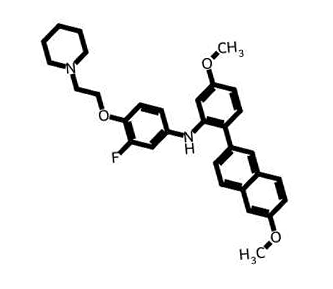 COc1ccc(-c2ccc3cc(OC)ccc3c2)c(Nc2ccc(OCCN3CCCCC3)c(F)c2)c1